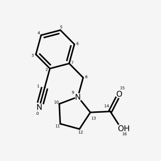 N#Cc1ccccc1CN1CCCC1C(=O)O